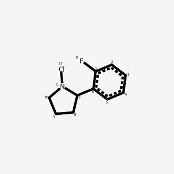 Fc1ccccc1C1CCCN1Cl